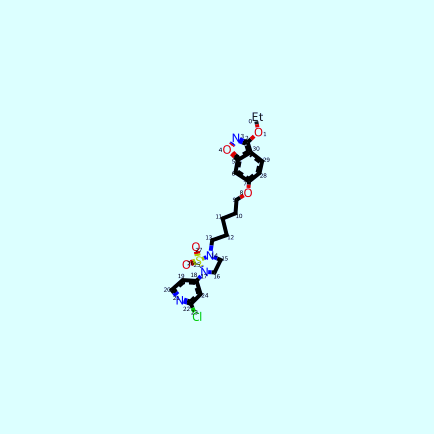 CCOc1noc2cc(OCCCCCN3CCN(c4ccnc(Cl)c4)S3(=O)=O)ccc12